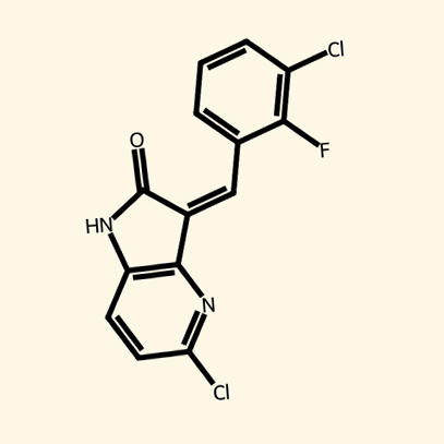 O=C1Nc2ccc(Cl)nc2C1=Cc1cccc(Cl)c1F